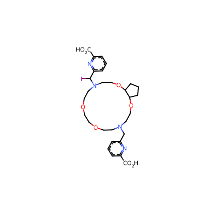 O=C(O)c1cccc(CN2CCOCCOCCN(C(I)c3cccc(C(=O)O)n3)CCOC3CCCC3OCC2)n1